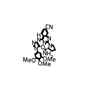 COc1cc(-n2cnc(Nc3nc(N4CCC[C@H]4C(N)=O)nc4cc(C#N)ccc34)c2)cc(OC)c1OC